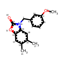 COc1cccc(Cn2c(=O)oc3cc(C)c(C)cc32)c1